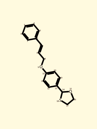 C(=Cc1ccccc1)COc1ccc(C2OCCS2)cc1